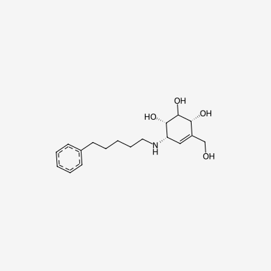 OCC1=C[C@H](NCCCCCc2ccccc2)[C@H](O)C(O)[C@@H]1O